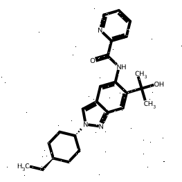 CC[C@H]1CC[C@H](n2cc3cc(NC(=O)c4ccccn4)c(C(C)(C)O)cc3n2)CC1